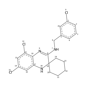 Clc1cccc(CNC2=Nc3c(Cl)cc(Cl)cc3NC23CCCCC3)c1